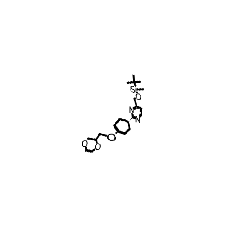 CC(C)(C)[Si](C)(C)OCc1ccnc([C@H]2CC[C@H](OCC3COCCO3)CC2)n1